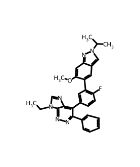 CCn1cnc2c(-c3ccc(F)c(-c4cc5cn(C(C)C)nc5cc4OC)c3)c(-c3ccccc3)nnc21